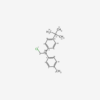 Cc1ccc([SiH](CCl)c2ccc([Si](C)(C)C)cc2)cc1